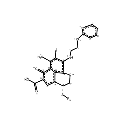 Nc1c(F)c(NCCNc2ccccn2)c2c3c1c(=O)c(C(=O)O)cn3[C@@H](CF)CO2